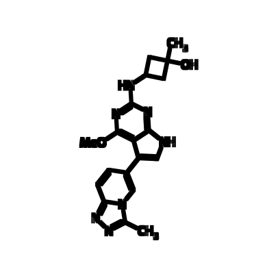 COc1nc(NC2CC(C)(O)C2)nc2[nH]cc(-c3ccc4nnc(C)n4c3)c12